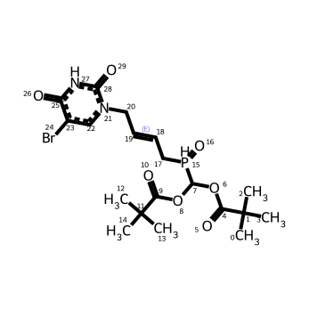 CC(C)(C)C(=O)OC(OC(=O)C(C)(C)C)[PH](=O)C/C=C/Cn1cc(Br)c(=O)[nH]c1=O